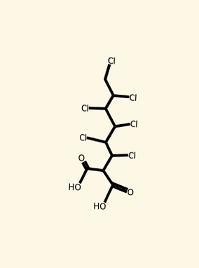 O=C(O)C(C(=O)O)C(Cl)C(Cl)C(Cl)C(Cl)C(Cl)CCl